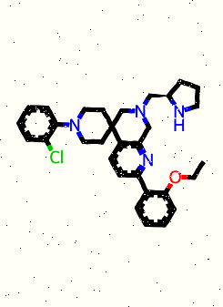 CCOc1ccccc1-c1ccc2c(n1)CN(C[C@H]1CCCN1)CC21CCN(c2ccccc2Cl)CC1